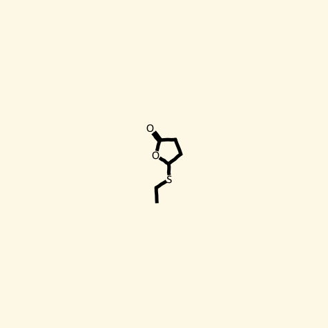 CCSC1CCC(=O)O1